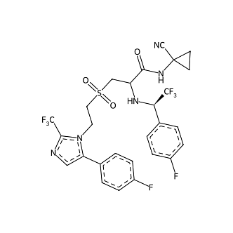 N#CC1(NC(=O)C(CS(=O)(=O)CCn2c(-c3ccc(F)cc3)cnc2C(F)(F)F)N[C@H](c2ccc(F)cc2)C(F)(F)F)CC1